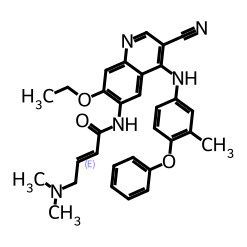 CCOc1cc2ncc(C#N)c(Nc3ccc(Oc4ccccc4)c(C)c3)c2cc1NC(=O)/C=C/CN(C)C